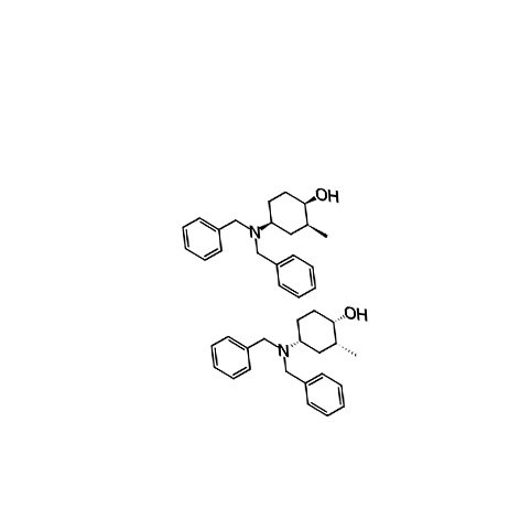 C[C@@H]1C[C@H](N(Cc2ccccc2)Cc2ccccc2)CC[C@@H]1O.C[C@H]1C[C@@H](N(Cc2ccccc2)Cc2ccccc2)CC[C@H]1O